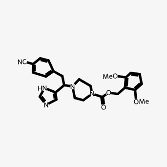 COc1cccc(OC)c1COC(=O)N1CCN(C(Cc2ccc(C#N)cc2)c2cnc[nH]2)CC1